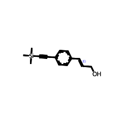 C[Si](C)(C)C#Cc1ccc(/C=C/CO)cc1